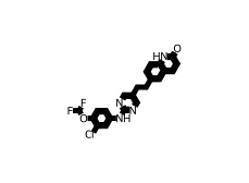 O=c1ccc2cc(CCc3cnc(Nc4ccc(OC(F)F)c(Cl)c4)nc3)ccc2[nH]1